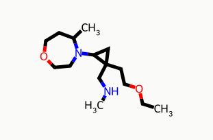 CCOCCC1(CNC)CC1N1CCOCCC1C